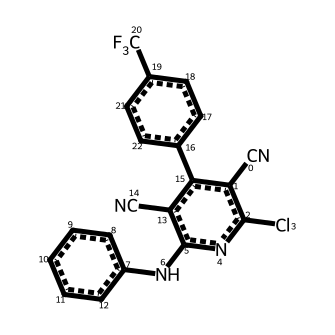 N#Cc1c(Cl)nc(Nc2ccccc2)c(C#N)c1-c1ccc(C(F)(F)F)cc1